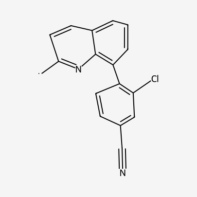 [CH2]c1ccc2cccc(-c3ccc(C#N)cc3Cl)c2n1